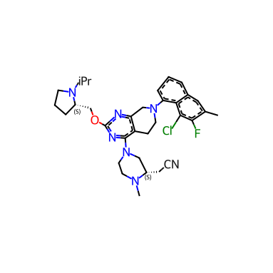 Cc1cc2cccc(N3CCc4c(nc(OC[C@@H]5CCCN5C(C)C)nc4N4CCN(C)[C@@H](CC#N)C4)C3)c2c(Cl)c1F